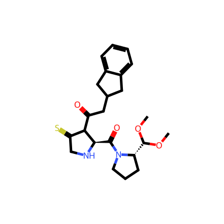 COC(OC)[C@@H]1CCCN1C(=O)[C@H]1NCC(=S)C1C(=O)CC1Cc2ccccc2C1